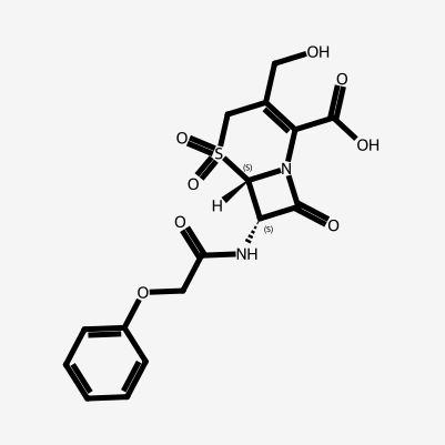 O=C(COc1ccccc1)N[C@H]1C(=O)N2C(C(=O)O)=C(CO)CS(=O)(=O)[C@@H]12